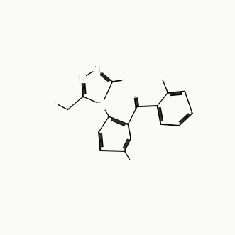 Cc1nnc(CO)n1-c1ccc(Cl)cc1C(=O)c1ccccc1Cl